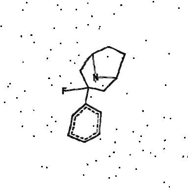 CN1C2CCC1CC(F)(c1ccccc1)C2